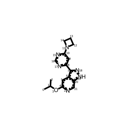 CC(C)Oc1cc2c(-c3cc(N4CCC4)ncn3)n[nH]c2cn1